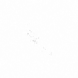 CC(C)(C)CCN1CCC2(CC1)CCN(S(=O)(=O)c1ccc(N3CCOCC3)nc1)C2